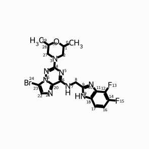 CC1CN(c2nc(NCc3nc4c(F)c(F)ccc4[nH]3)c3ncc(Br)n3n2)CC(C)O1